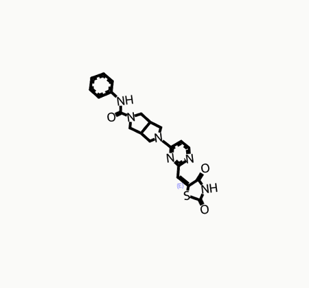 O=C1NC(=O)/C(=C\c2nccc(N3CC4CN(C(=O)Nc5ccccc5)CC4C3)n2)S1